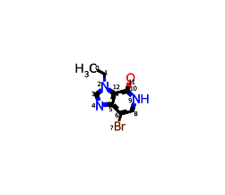 CCn1cnc2c(Br)c[nH]c(=O)c21